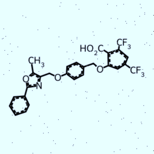 Cc1oc(-c2ccccc2)nc1COc1ccc(COc2cc(C(F)(F)F)cc(C(F)(F)F)c2C(=O)O)cc1